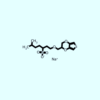 CC(C)CCC(CCOCC1COc2cscc2O1)S(=O)(=O)[O-].[Na+]